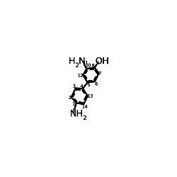 Nc1ccc(-c2ccc(O)c(N)c2)cc1